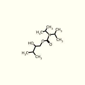 CC(C)C(O)COC(=O)N(C(C)C)C(C)C